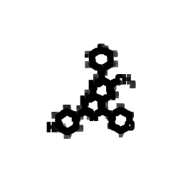 Cc1nc2c(N3CCOCC3)nc(N3CCNCC3)nc2nc1N1CCSCC1